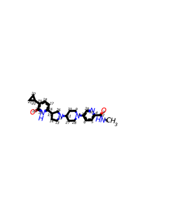 CNC(=O)c1ccc(N2CCC(N3CCC(c4ccc(C5CC5)c(=O)[nH]4)C3)CC2)cn1